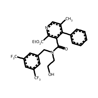 CCOC(=O)c1ncc(C)c(-c2ccccc2)c1C(=O)N(CCO)Cc1cc(C(F)(F)F)cc(C(F)(F)F)c1